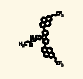 C=CC(=O)OCCCC1(C=C)c2cc(-c3ccc4ccc5cc(CCC(F)(F)F)cc6ccc3c4c56)ccc2-c2ccc(-c3ccc4ccc5cc(CCC(F)(F)F)cc6ccc3c4c56)cc21